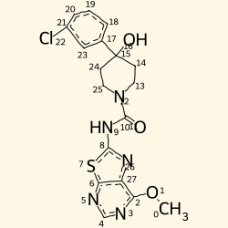 COc1ncnc2sc(NC(=O)N3CCC(O)(c4cccc(Cl)c4)CC3)nc12